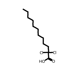 CCCCCCCCCCC(Cl)(Cl)C(=O)O